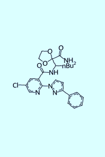 CCCCC(NC(=O)c1cc(Cl)cnc1-n1ccc(-c2ccccc2)n1)C1(C(N)=O)OCCO1